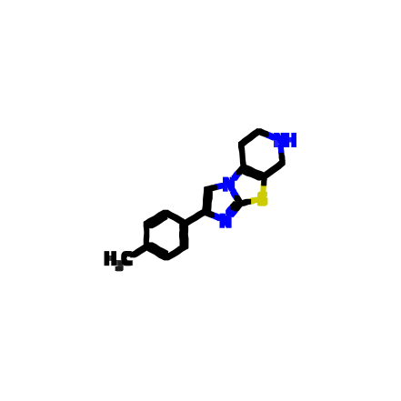 Cc1ccc(-c2cn3c4c(sc3n2)CNCC4)cc1